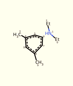 CCNCC.Cc1cccc(C)c1